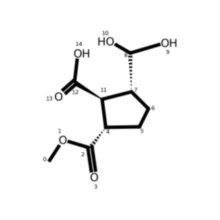 COC(=O)[C@H]1CC[C@@H](C(O)O)[C@@H]1C(=O)O